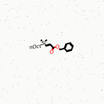 CCCCCCCC[Si](C)(C)/C=C/C(=O)OCc1ccccc1